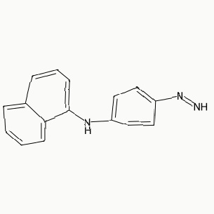 N=Nc1ccc(Nc2cccc3ccccc23)cc1